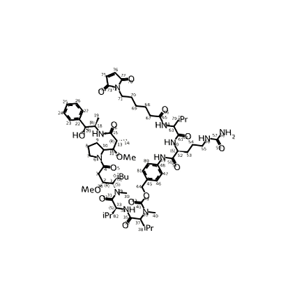 CC[C@H](C)[C@@H]([C@@H](CC(=O)N1CCCC1[C@H](OC)[C@@H](C)C(=O)N[C@H](C)[C@@H](O)c1ccccc1)OC)N(C)C(=O)[C@@H](NC(=O)C(C(C)C)N(C)C(=O)OCc1ccc(NC(=O)[C@H](CCCNC(N)=O)NC(=O)C(NC(=O)CCCCCN2C(=O)C=CC2=O)C(C)C)cc1)C(C)C